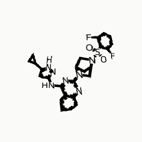 O=S(=O)(c1c(F)cccc1F)N1CC2CC1CN2c1nc(Nc2cc(C3CC3)[nH]n2)c2ccccc2n1